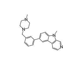 CN1CCN(Cc2cccc(-c3ccc4c(c3)c3ccncc3n4C)c2)CC1